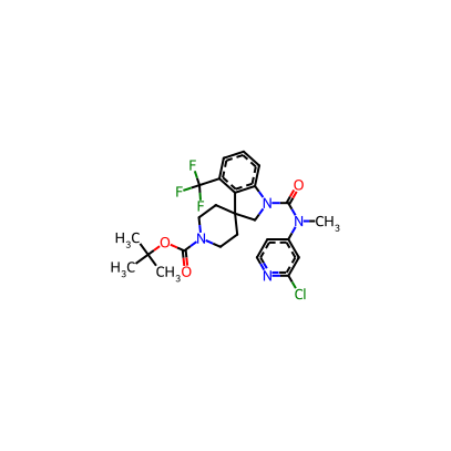 CN(C(=O)N1CC2(CCN(C(=O)OC(C)(C)C)CC2)c2c1cccc2C(F)(F)F)c1ccnc(Cl)c1